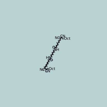 CCCCCCCCC(C#N)C(C#N)CCCCCCCC(=O)NCCCCCCNC(=O)CCCCCCCC(C#N)C(C#N)CCCCCCCC